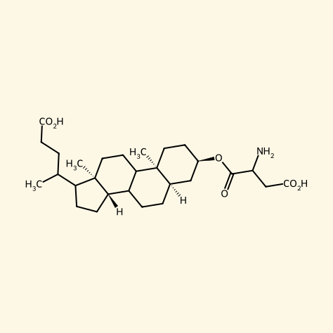 CC(CCC(=O)O)C1CC[C@H]2C3CC[C@@H]4C[C@H](OC(=O)C(N)CC(=O)O)CC[C@]4(C)C3CC[C@]12C